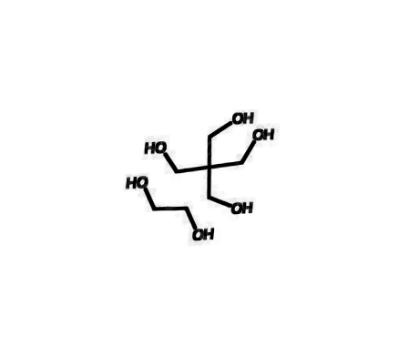 OCC(CO)(CO)CO.OCCO